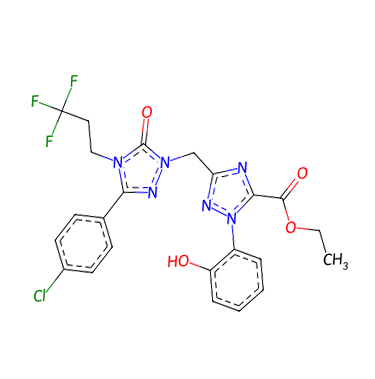 CCOC(=O)c1nc(Cn2nc(-c3ccc(Cl)cc3)n(CCC(F)(F)F)c2=O)nn1-c1ccccc1O